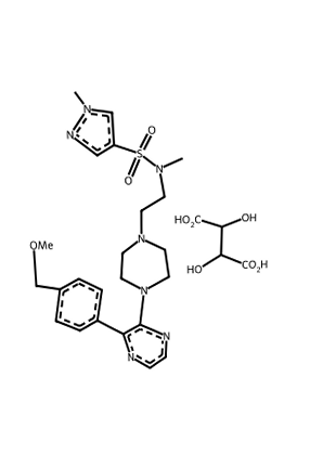 COCc1ccc(-c2nccnc2N2CCN(CCN(C)S(=O)(=O)c3cnn(C)c3)CC2)cc1.O=C(O)C(O)C(O)C(=O)O